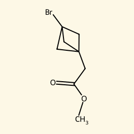 COC(=O)CC12CC(Br)(C1)C2